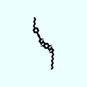 CCCCCCCCc1cc2sc3cc4c(cc3c2s1)sc1cc(C#Cc2ccc(CCCCC)cc2)sc14